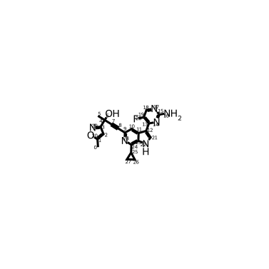 Cc1cc(C(C)(O)C#Cc2cc3c(-c4nc(N)ncc4F)c[nH]c3c(C3CC3)n2)no1